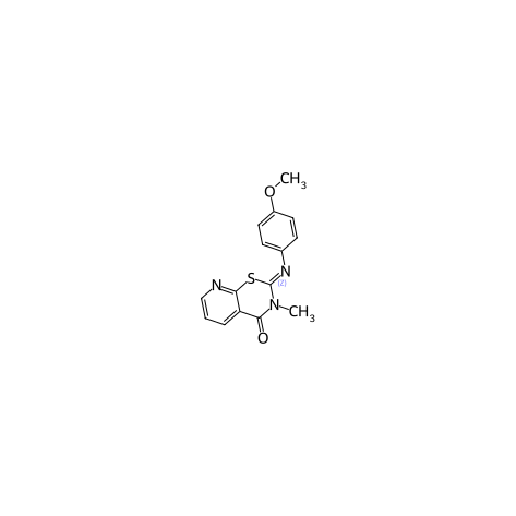 COc1ccc(/N=c2\sc3ncccc3c(=O)n2C)cc1